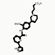 COc1cc(C2=CCCN(CCCC(=O)O)C2)ccc1NC(=O)c1cccc(-c2ccn[nH]2)n1